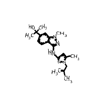 Cc1cc(Nc2nn(C)c3cc(C(C)(C)O)ccc23)nn1CC(C)C